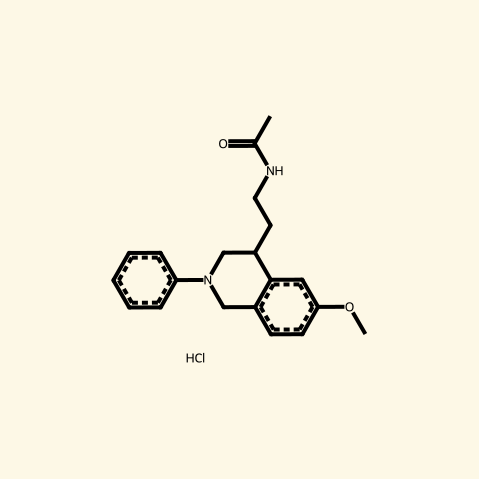 COc1ccc2c(c1)C(CCNC(C)=O)CN(c1ccccc1)C2.Cl